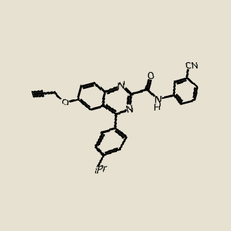 C#CCOc1ccc2nc(C(=O)Nc3cccc(C#N)c3)nc(-c3ccc(C(C)C)cc3)c2c1